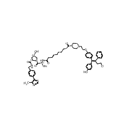 Cc1ncsc1-c1ccc(CNC(=O)[C@@H]2C[C@@H](O)CN2C(=O)[C@@H](NC(=O)CCCCCCCCC(=O)N2CCN(CCOc3ccc(C(=C(CCCl)c4ccccc4)c4ccc(O)cc4)cc3)CC2)C(C)(C)C)cc1